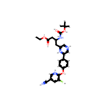 CCOC(=O)CC(Cc1cncc(-c2ccc(Oc3ncc(C#N)cc3F)cc2)n1)NC(=O)OC(C)(C)C